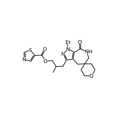 CCn1nc(CC(C)COC(=O)c2cncs2)c2c1C(=O)NCC1(CCOCC1)C2